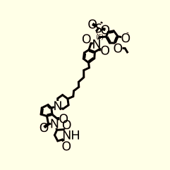 CCOc1cc([C@@H](CS(C)(=O)=O)N2C(=O)c3ccc(CCCCCCCC4CCN(c5cccc6c5C(=O)N(C5CCC(=O)NC5=O)C6=O)CC4)cc3C2=O)ccc1OC